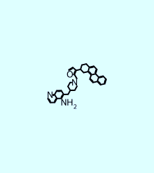 Nc1c(CC2CCN(Cc3occc3C3CCc4ccc5c(ccc6ccccc65)c4C3)CC2)ccc2ncccc12